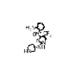 Nc1ccccc1[S@@+]([O-])c1nc(N[C@H]2CCCNC2)ncc1C(F)(F)F